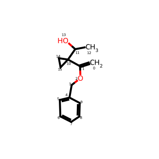 C=C(OCc1ccccc1)C1(C(C)O)CC1